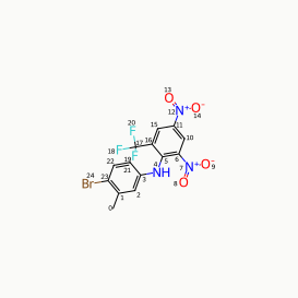 Cc1cc(Nc2c([N+](=O)[O-])cc([N+](=O)[O-])cc2C(F)(F)F)ccc1Br